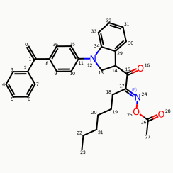 C=C(c1ccccc1)c1ccc(N2CC(C(=O)/C(CCCCCC)=N/OC(C)=O)c3ccccc32)cc1